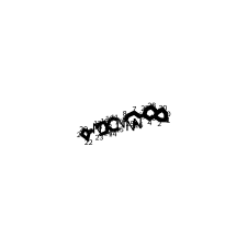 c1ccc2cc(-c3ccc(N4CCC5(CC4)CCN(C4CCC4)CC5)nn3)ccc2c1